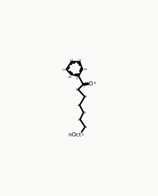 CCCCCCCCCCCCCCC(=O)c1ccccc1